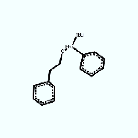 CC(C)(C)[SiH](OCCc1ccccc1)c1ccccc1